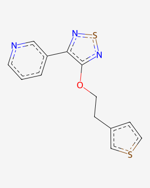 c1cncc(-c2nsnc2OCCc2ccsc2)c1